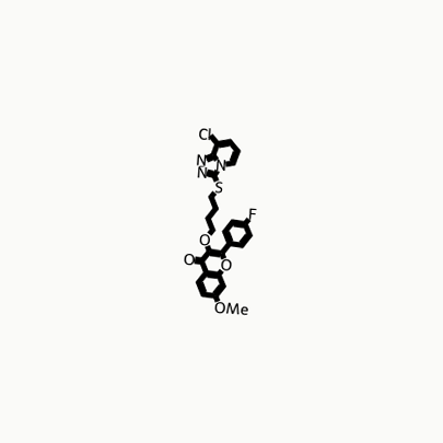 COc1ccc2c(=O)c(OCCCCSc3nnc4c(Cl)cccn34)c(-c3ccc(F)cc3)oc2c1